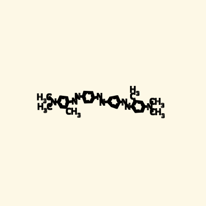 Cc1cc(N(C)C)ccc1N=Nc1ccc(N=Nc2ccc(N=Nc3ccc(N(C)C)cc3C)cc2)cc1